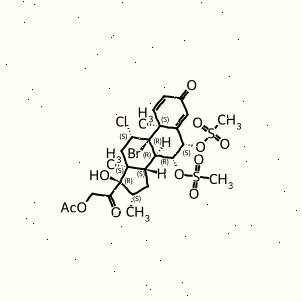 CC(=O)OCC(=O)[C@@]1(O)[C@@H](C)C[C@H]2[C@@H]3[C@@H](OS(C)(=O)=O)[C@@H](OS(C)(=O)=O)C4=CC(=O)C=C[C@]4(C)[C@@]3(Br)[C@@H](Cl)C[C@@]21C